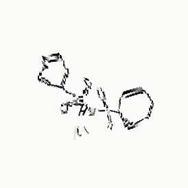 O=S(=O)(NS(=O)(=O)c1ccccc1)c1ccccc1.[KH]